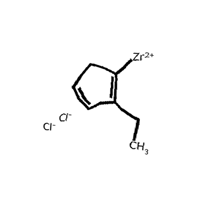 CCC1=[C]([Zr+2])CC=C1.[Cl-].[Cl-]